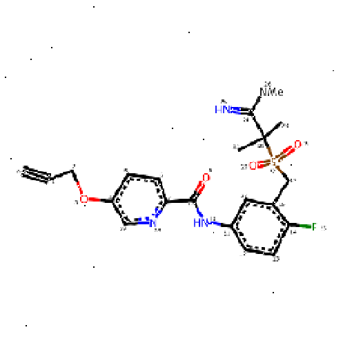 C#CCOc1ccc(C(=O)Nc2ccc(F)c(CS(=O)(=O)C(C)(C)C(=N)NC)c2)nc1